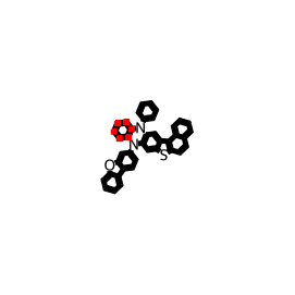 c1ccc(N(c2ccc3c(c2)oc2ccccc23)c2cc3sc4ccc5ccccc5c4c3cc2N(c2ccccc2)c2ccccc2)cc1